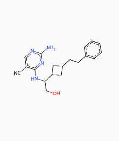 N#Cc1cnc(N)nc1NC(CO)C1CC(CCc2ccccc2)C1